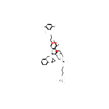 CC(C)(OC(=O)N1C2CC(c3ccc(CCCOc4c(F)ccc(F)c4F)cc3)=C(C(=O)N(Cc3ccccc3Cl)C3CC3)C1CN(C(=O)OCCCCO[N+](=O)[O-])C2)C(Cl)(Cl)Cl